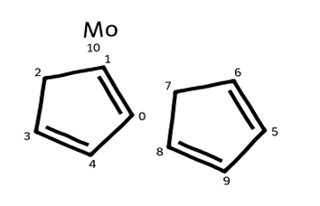 C1=CCC=C1.C1=CCC=C1.[Mo]